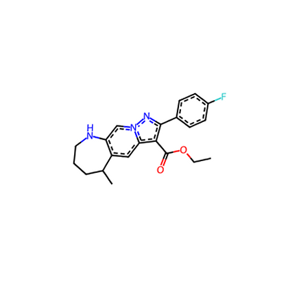 CCOC(=O)c1c(-c2ccc(F)cc2)nn2cc3c(cc12)C(C)CCCN3